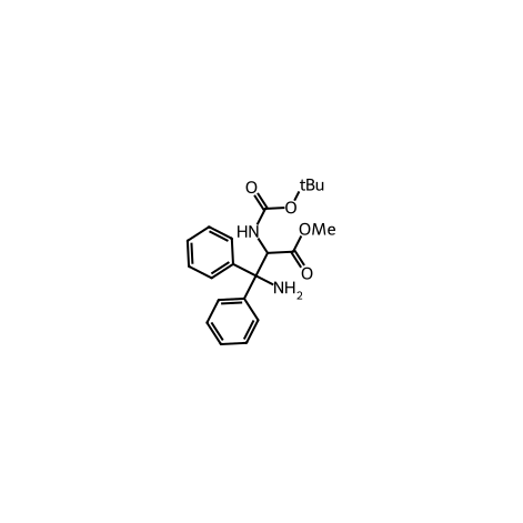 COC(=O)C(NC(=O)OC(C)(C)C)C(N)(c1ccccc1)c1ccccc1